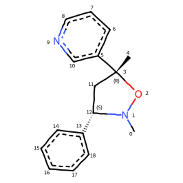 CN1O[C@@](C)(c2cccnc2)C[C@H]1c1ccccc1